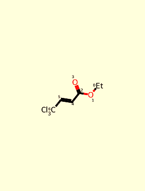 CCOC(=O)C=CC(Cl)(Cl)Cl